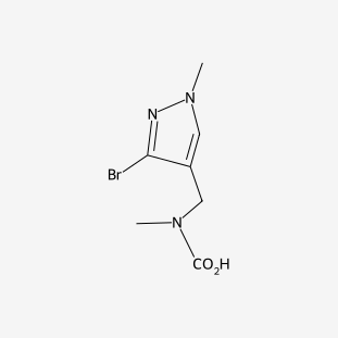 CN(Cc1cn(C)nc1Br)C(=O)O